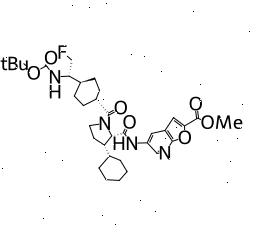 COC(=O)c1cc2cc(NC(=O)[C@@H]3[C@H](C4CCCCC4)CCN3C(=O)[C@H]3CC[C@H]([C@@H](CF)NC(=O)OC(C)(C)C)CC3)cnc2o1